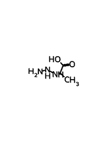 CC(NNN)C(=O)O